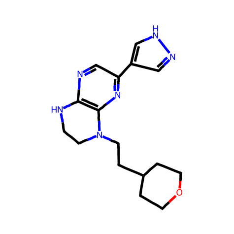 c1n[nH]cc1-c1cnc2c(n1)N(CCC1CCOCC1)CCN2